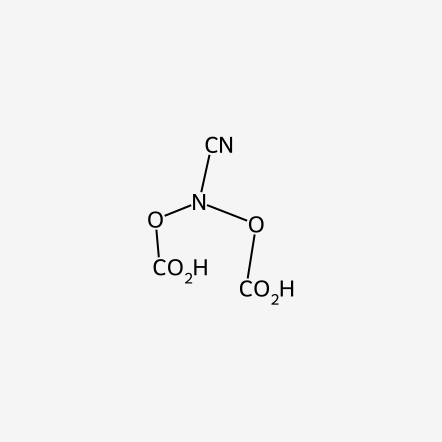 N#CN(OC(=O)O)OC(=O)O